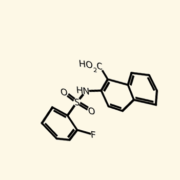 O=C(O)c1c(NS(=O)(=O)c2ccccc2F)ccc2ccccc12